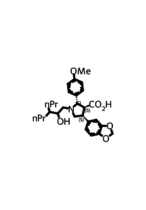 CCCC(CCC)C(O)CN1C[C@H](c2ccc3c(c2)OCO3)[C@H](C(=O)O)[C@H]1c1ccc(OC)cc1